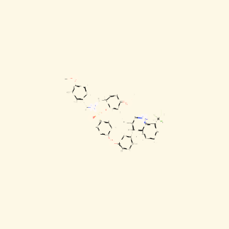 COc1ccc(CN(Cc2ccc(OC)cc2)S(=O)(=O)c2ccc(Oc3cccc(-c4c(C)cnc5c(C(F)(F)F)cccc45)c3)cc2)cc1